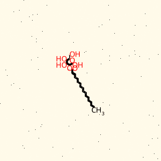 CCCCCCCCCCCCCCC/C=C/C(=O)O[C@@H]1[C@@H](O)[C@H](O)[C@@H](CO)O[C@H]1O